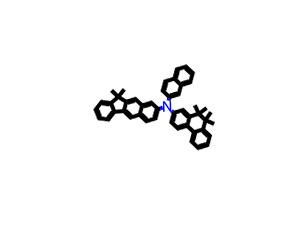 CC1(C)c2ccccc2-c2cc3ccc(N(c4ccc5c(c4)C(C)(C)C(C)(C)c4ccccc4-5)c4ccc5ccccc5c4)cc3cc21